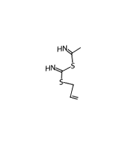 C=CCSC(=N)SC(C)=N